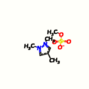 COS(=O)(=O)[O-].Cc1cn(C)[n+](C)c1